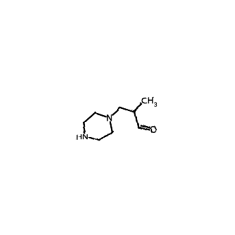 CC(C=O)CN1CCNCC1